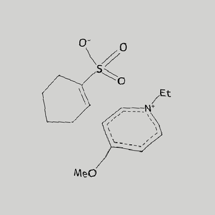 CC[n+]1ccc(OC)cc1.O=S(=O)([O-])C1=CCCCC1